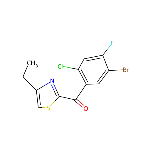 CCc1csc(C(=O)c2cc(Br)c(F)cc2Cl)n1